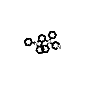 c1ccc(-n2c3ccccc3c3c([Si](c4ccccc4)(c4ccccc4)c4ccncc4)cccc32)cc1